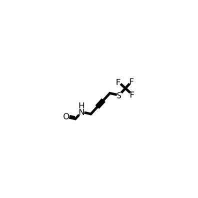 O=CNCC#CCSC(F)(F)F